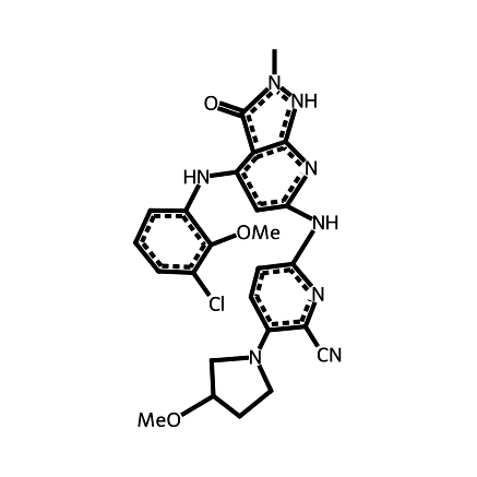 COc1c(Cl)cccc1Nc1cc(Nc2ccc(N3CCC(OC)C3)c(C#N)n2)nc2[nH]n(C)c(=O)c12